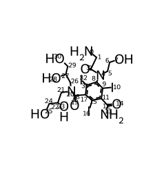 NCC(=O)N(CCO)c1c(I)c(C(N)=O)c(I)c(C(=O)N(CC(O)CO)CC(O)CO)c1I